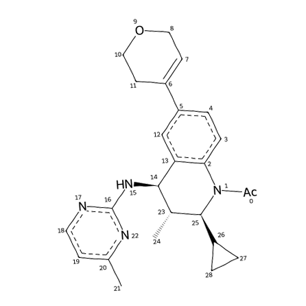 CC(=O)N1c2ccc(C3=CCOCC3)cc2[C@H](Nc2nccc(C)n2)[C@@H](C)[C@@H]1C1CC1